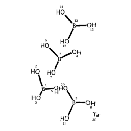 OB(O)O.OB(O)O.OB(O)O.OB(O)O.[Ta]